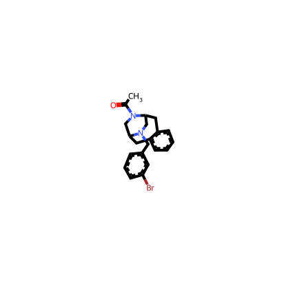 CC(=O)N1CC2Cc3ccccc3CC1CN2Cc1cccc(Br)c1